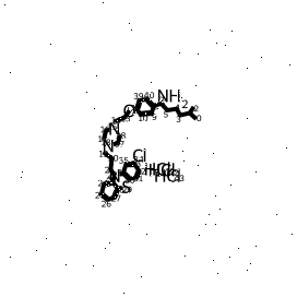 CC(C)CCCC(N)c1ccc(OCCN2CCN(CCCN3c4ccccc4Sc4ccc(Cl)cc43)CC2)cc1.Cl.Cl.Cl